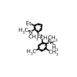 CCc1cccc(CC)c1N(C)C.Cc1cc(C)c(N(C)C)c(C)c1